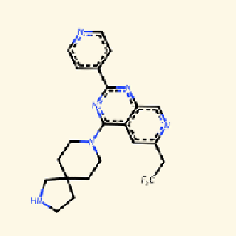 FC(F)(F)Cc1cc2c(N3CCC4(CCNC4)CC3)nc(-c3ccncc3)nc2cn1